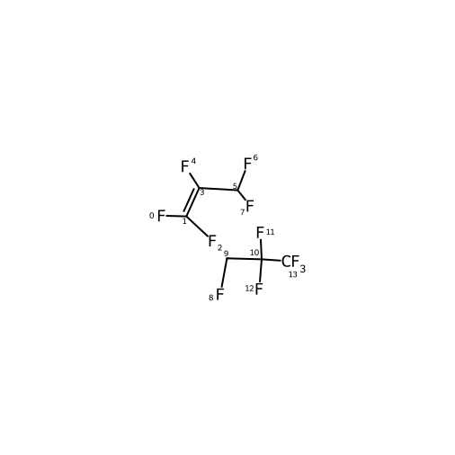 FC(F)=C(F)C(F)F.FCC(F)(F)C(F)(F)F